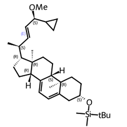 CO[C@H](/C=C/[C@H](C)[C@H]1CC[C@H]2C3=CC=C4C[C@@H](O[Si](C)(C)C(C)(C)C)CC[C@]4(C)[C@H]3CC[C@]12C)C1CC1